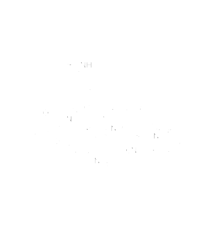 N#Cc1cnc2cc(OC3CCOC3)c(NC(=O)C=C3CCNCC3)cc2c1N1CCc2ccc(N3C=CCC3)cc21